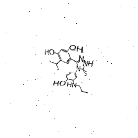 CCCNc1cc(-n2c(-c3cc(C(C)C)c(O)cc3O)n[nH]c2=S)ccc1O